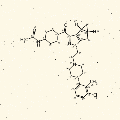 CC(=O)NC1CCN(C(=O)c2nn(CCN3CCN(c4cccc(Cl)c4C)CC3)c3c2[C@@H]2C[C@@H]2C3)CC1